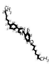 CCCCCCCCOc1ccc(-c2ncc(-c3ccc(CCCCCC)cc3)cn2)c(F)c1